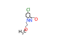 COCCCn1nc(C=O)c2cc(Cl)ccc21